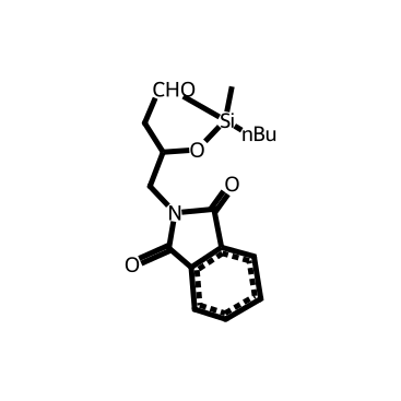 CCCC[Si](C)(C)OC(CC=O)CN1C(=O)c2ccccc2C1=O